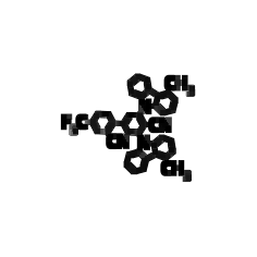 Cc1cccc2c1c1ccccc1n2-c1cc(-c2ccc(C(F)(F)F)cc2C#N)cc(-n2c3ccccc3c3c(C)cccc32)c1C#N